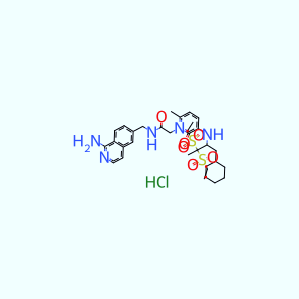 CCS(=O)(=O)C(C)(C(CC1CCCCC1)Nc1ccc(C)n(CC(=O)NCc2ccc3c(N)nccc3c2)c1=O)S(=O)(=O)CC.Cl